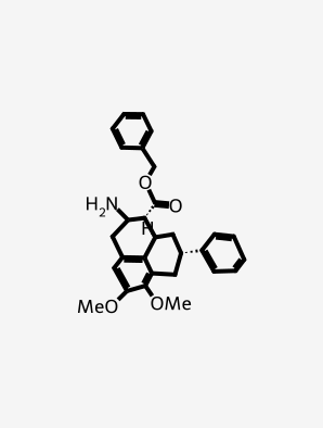 COc1cc2c3c(c1OC)C[C@@H](c1ccccc1)C[C@@H]3[C@@H](C(=O)OCc1ccccc1)C(N)C2